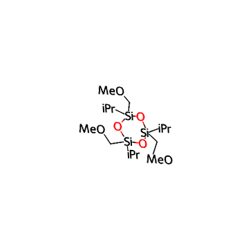 COC[Si]1(C(C)C)O[Si](COC)(C(C)C)O[Si](COC)(C(C)C)O1